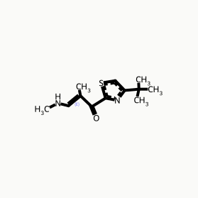 CN/C=C(\C)C(=O)c1nc(C(C)(C)C)cs1